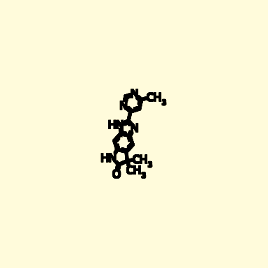 Cc1cc(-c2nc3cc4c(cc3[nH]2)NC(=O)C4(C)C)ncn1